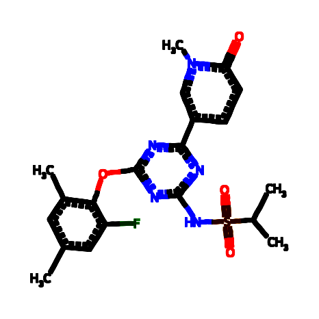 Cc1cc(C)c(Oc2nc(NS(=O)(=O)C(C)C)nc(-c3ccc(=O)n(C)c3)n2)c(F)c1